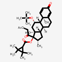 CC(=O)OCC(=O)[C@@]1(OC(=O)C2C(C)(C)C2(C)C)[C@@H](C)C[C@H]2[C@@H]3CCC4=CC(=O)C=C[C@]4(C)[C@H]3[C@@H](O[Si](C)(C)C)C[C@@]21C